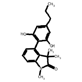 CCCc1cc(O)c(-c2cccc3c2C(C)(C)C(=O)N3C)c(O)c1